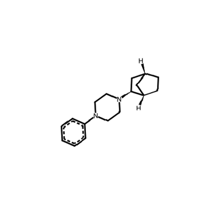 c1ccc(N2CCN([C@H]3C[C@@H]4CC[C@H]3C4)CC2)cc1